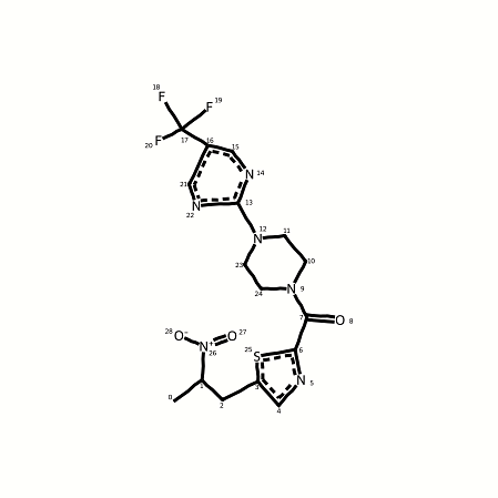 CC(Cc1cnc(C(=O)N2CCN(c3ncc(C(F)(F)F)cn3)CC2)s1)[N+](=O)[O-]